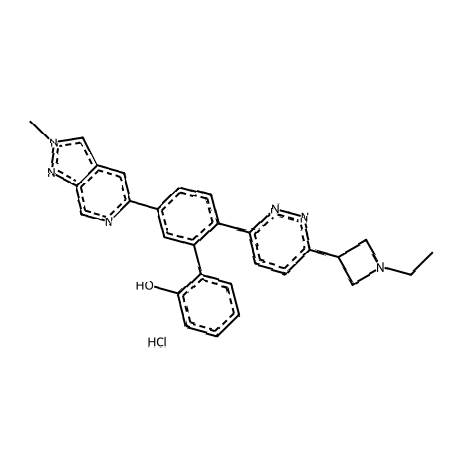 CCN1CC(c2ccc(-c3ccc(-c4cc5cn(C)nc5cn4)cc3-c3ccccc3O)nn2)C1.Cl